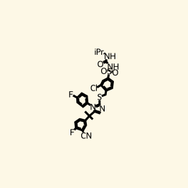 CC(C)NC(=O)NS(=O)(=O)c1ccc(CSc2ncc(C(C)(C)c3ccc(F)c(C#N)c3)n2-c2ccc(F)cc2)c(Cl)c1